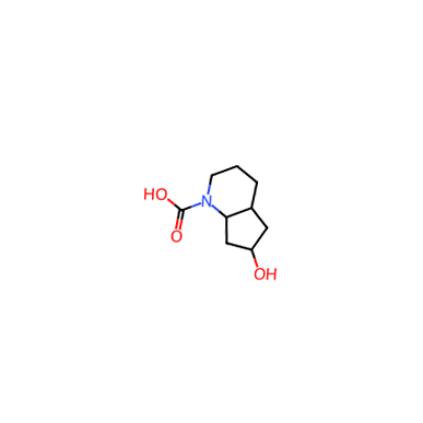 O=C(O)N1CCCC2CC(O)CC21